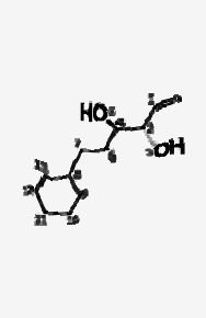 C=C[C@H](O)[C@H](O)CCC1CCCCC1